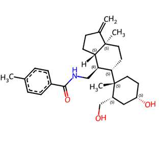 C=C1CC[C@H]2[C@H](CNC(=O)c3ccc(C)cc3)[C@@H]([C@]3(C)CC[C@H](O)C[C@@H]3CO)CC[C@]12C